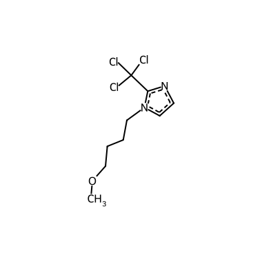 COCCCCn1ccnc1C(Cl)(Cl)Cl